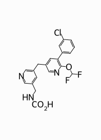 O=C(O)NCc1cncc(Cc2cnc(OC(F)F)c(-c3cccc(Cl)c3)c2)c1